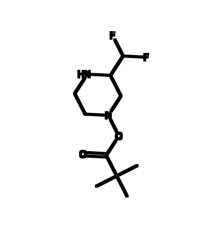 CC(C)(C)C(=O)ON1CCNC(C(F)F)C1